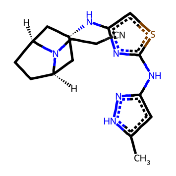 Cc1cc(Nc2nc(N[C@@H]3C[C@H]4CC[C@@H](C3)N4CCC#N)cs2)n[nH]1